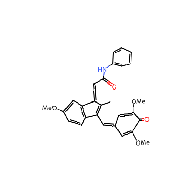 COC1=CC(=CC2=C(C)C(=CC(=O)Nc3ccccc3)c3cc(OC)ccc32)C=C(OC)C1=O